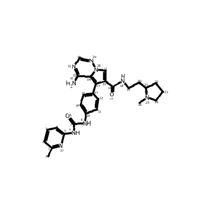 Cc1cccc(NC(=O)Nc2ccc(-c3c(C(=O)NCCC4CCCN4C)cn4ncnc(N)c34)cc2)n1